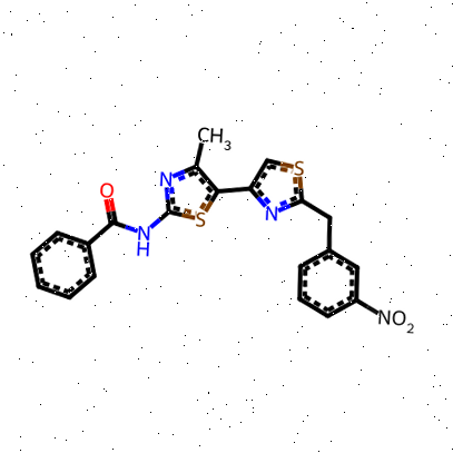 Cc1nc(NC(=O)c2ccccc2)sc1-c1csc(Cc2cccc([N+](=O)[O-])c2)n1